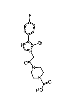 O=C(O)N1CCN(C(=O)Cn2cnc(-c3ccc(F)cc3)c2Br)CC1